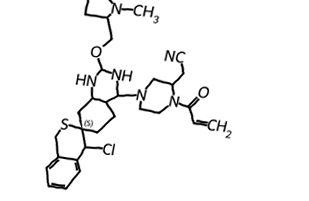 C=CC(=O)N1CCN(C2NC(OCC3CCCN3C)NC3C[C@]4(CCC32)SCc2ccccc2C4Cl)CC1CC#N